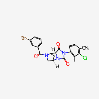 Cc1c(N2C(=O)[C@@H]3C4C[C@H](CN4C(=O)c4cccc(Br)c4)N3C2=O)ccc(C#N)c1Cl